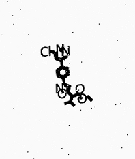 CCOC(=O)C(c1cc(-c2ccc(-c3cnnc(Cl)c3)cc2)no1)C(C)C